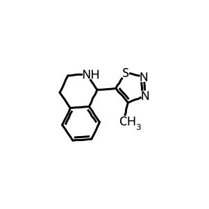 Cc1nnsc1C1NCCc2ccccc21